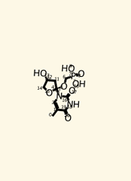 Cc1cn([C@@]2(OCP(=O)(O)O)C[C@H](O)CO2)c(=O)[nH]c1=O